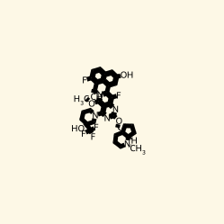 C#Cc1c(F)ccc2cc(O)cc(-c3nc(OC)c4c(N5CCCC(O)(C(F)(F)F)C5)nc(OC[C@]56CCC[C@H]5N(C)CCC6)nc4c3F)c12